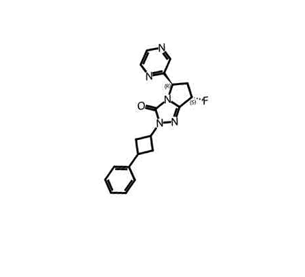 O=c1n(C2CC(c3ccccc3)C2)nc2n1[C@@H](c1cnccn1)C[C@@H]2F